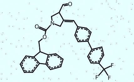 O=CC1CN(C(=O)OCC2c3ccccc3-c3ccccc32)CC1=Cc1ccc(-c2ccc(C(F)(F)F)cc2)cc1